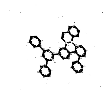 C1=CN2B(c3ccccc31)c1cccc(-c3ccccc3)c1-c1ccc(-c3nc(-c4ccccc4)cc(-c4ccccc4)n3)cc12